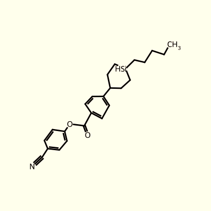 CCCCC[SiH]1CCC(c2ccc(C(=O)Oc3ccc(C#N)cc3)cc2)CC1